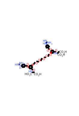 N=C(N)Nc1ccc(C(=O)Oc2cc(OCCOCCOCCOCCOCCOc3cc(OC(=O)c4ccc(NC(=N)N)cc4)cc(C(=O)NC(CC(=O)O)C(=O)O)c3)cc(C(=O)NC(CC(=O)O)C(=O)O)c2)cc1